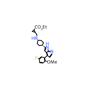 CCOC(=O)C1CC1CN[C@H]1CC[C@H](c2cc3c(-c4cc(F)ccc4OC)ccnc3[nH]2)CC1